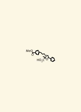 COC(=O)c1ccc(CCCN2CC(c3ccccc3)OC2(C)C(=O)O)cc1